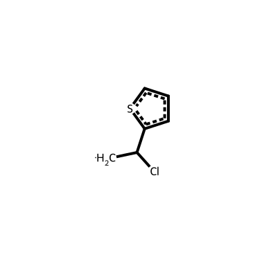 [CH2]C(Cl)c1cccs1